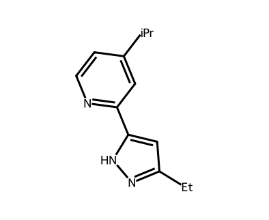 CCc1cc(-c2cc(C(C)C)ccn2)[nH]n1